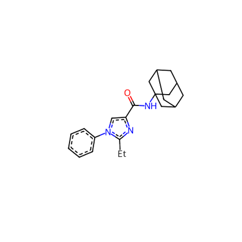 CCc1nc(C(=O)NC23CC4CC(CC(C4)C2)C3)cn1-c1ccccc1